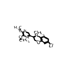 COc1ncc(C2COc3cc(Cl)ccc3N2C)nc1OC